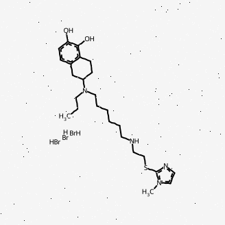 Br.Br.Br.CCCN(CCCCCCNCCSc1nccn1C)C1CCc2c(ccc(O)c2O)C1